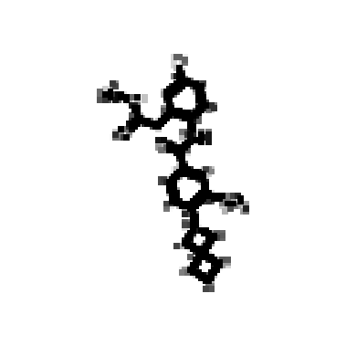 CC(C)(C)OC(=O)Cc1cc(F)ccc1NC(=O)c1ccc(N2CC3(CCC3)C2)c([N+](=O)[O-])c1